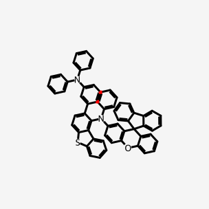 c1ccc(N(c2ccccc2)c2cccc(-c3ccc4sc5ccccc5c4c3N(c3ccccc3)c3ccc4c(c3)C3(c5ccccc5O4)c4ccccc4-c4ccccc43)c2)cc1